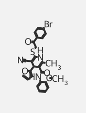 COc1ccccc1NC(=O)C1=C(C)NC(SCC(=O)c2ccc(Br)cc2)=C(C#N)C1c1ccco1